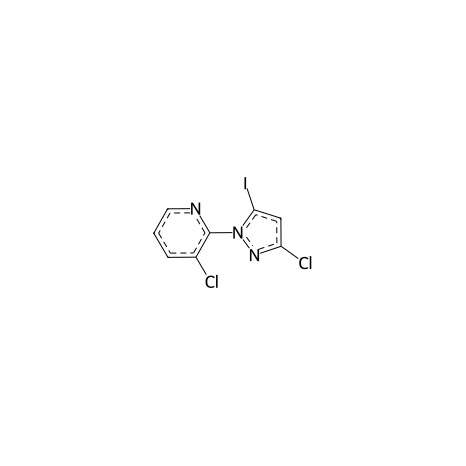 Clc1cc(I)n(-c2ncccc2Cl)n1